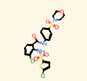 O=C(Nc1ccc(S(=O)(=O)N2CCOCC2)cc1)c1cccc(Cl)c1NS(=O)(=O)c1ccc(Cl)s1